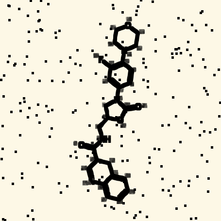 O=C(NC[C@H]1CN(c2ccc(N3CCOCC3)c(F)c2)C(=O)O1)C1C=Nc2ccccc2C1